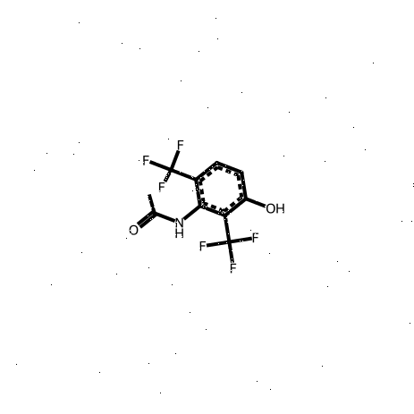 CC(=O)Nc1c(C(F)(F)F)ccc(O)c1C(F)(F)F